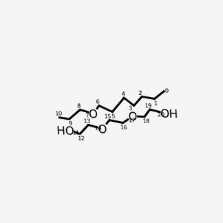 CCCCCCCOCCC.OCCOCCOCCO